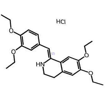 CCOc1ccc(/C=C2\NCCc3cc(OCC)c(OCC)cc32)cc1OCC.Cl